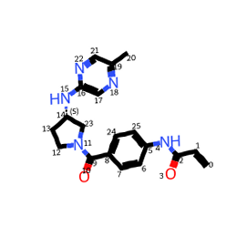 C=CC(=O)Nc1ccc(C(=O)N2CC[C@H](Nc3cnc(C)cn3)C2)cc1